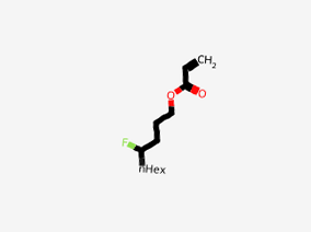 C=CC(=O)OCCCC(F)CCCCCC